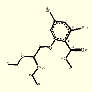 CCOC(COc1cc(Br)cc(F)c1C(=O)OC)OCC